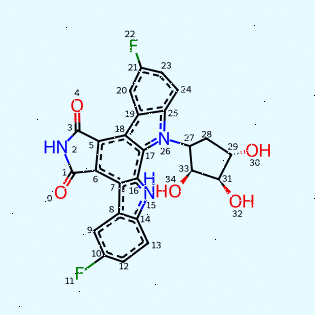 O=C1NC(=O)c2c1c1c3cc(F)ccc3[nH]c1c1c2c2cc(F)ccc2n1C1C[C@H](O)[C@@H](O)[C@H]1O